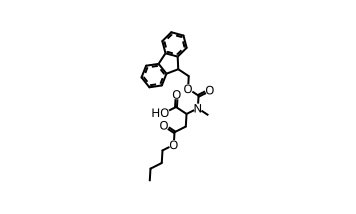 CCCCOC(=O)CC(C(=O)O)N(C)C(=O)OCC1c2ccccc2-c2ccccc21